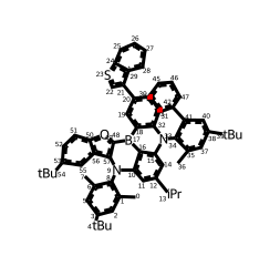 Cc1cc(C(C)(C)C)cc(C)c1N1c2cc(C(C)C)cc3c2B(c2cc(-c4csc5ccccc45)ccc2N3c2c(C)cc(C(C)(C)C)cc2-c2ccccc2)c2oc3ccc(C(C)(C)C)cc3c21